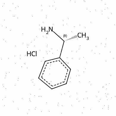 C[C@@H](N)c1ccccc1.Cl